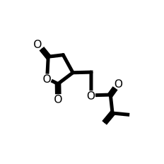 C=C(C)C(=O)OCC1CC(=O)OC1=O